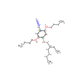 CCCCOc1cc(SCC(CC)CCCC)c(OCCCC)cc1[N+]#N